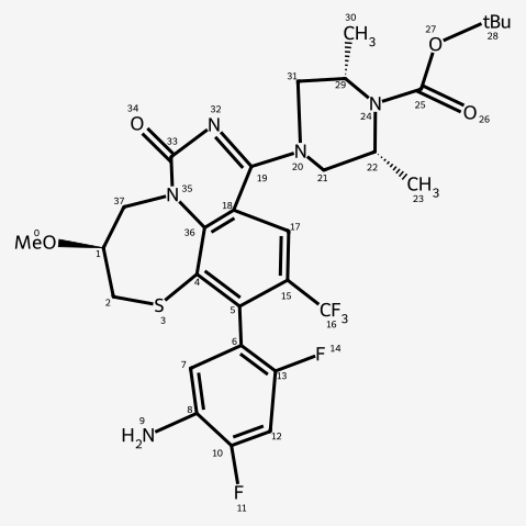 CO[C@@H]1CSc2c(-c3cc(N)c(F)cc3F)c(C(F)(F)F)cc3c(N4C[C@@H](C)N(C(=O)OC(C)(C)C)[C@@H](C)C4)nc(=O)n(c23)C1